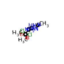 COc1cc(OC)c(Cl)c(-c2cc3cnc(Nc4cn(C)cc4N)cc3cn2)c1Cl